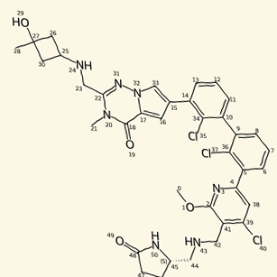 COc1nc(-c2cccc(-c3cccc(-c4cc5c(=O)n(C)c(CNC6CC(C)(O)C6)nn5c4)c3Cl)c2Cl)cc(Cl)c1CNC[C@@H]1CCC(=O)N1